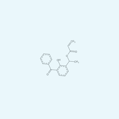 C=CC(=O)OC(C)c1cccc(C(=O)c2ccccc2)c1O